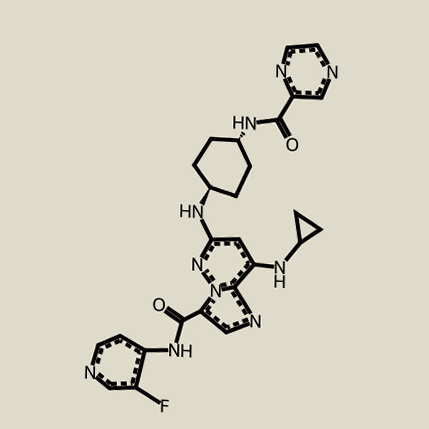 O=C(N[C@H]1CC[C@H](Nc2cc(NC3CC3)c3ncc(C(=O)Nc4ccncc4F)n3n2)CC1)c1cnccn1